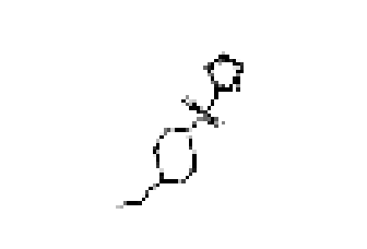 CCC1CCN(S(=O)(=O)c2cccs2)CC1